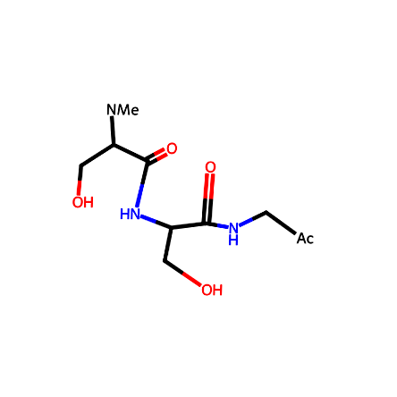 CNC(CO)C(=O)NC(CO)C(=O)NCC(C)=O